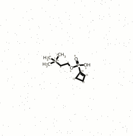 C[N+](C)(C)CCOP(=O)(O)C1=CCC1